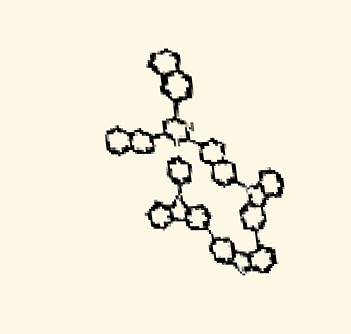 c1ccc(-n2c3ccccc3c3cc(-c4ccc5sc6cccc(-c7ccc8c(c7)c7ccccc7n8-c7ccc8cc(-c9nc(-c%10ccc%11ccccc%11c%10)cc(-c%10ccc%11ccccc%11c%10)n9)ccc8c7)c6c5c4)ccc32)cc1